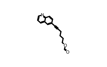 O=COCCCCC#Cc1ccc2ncccc2c1